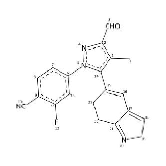 Cc1c(C=O)nn(-c2ccc(C#N)c(F)c2)c1C1=CC2=CCN=C2CC1